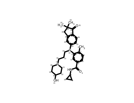 Cc1ccc(C(=O)NC2CC2)cc1N(CCCN1CCC(O)CC1)c1ccc2c(c1)CC(C)(C)C2=O